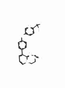 O=S1(=O)CCN2C=CC=C(c3ccc(Oc4ccc(C(F)(F)F)nc4)cc3)C2=N1